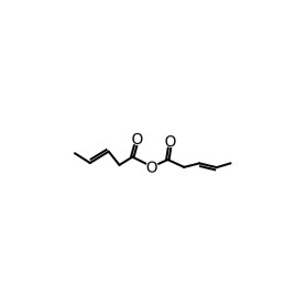 CC=CCC(=O)OC(=O)C/C=C/C